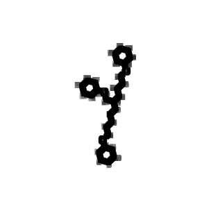 [CH](CCCCOC1CCCCC1)C(CCCCOC1CCCCC1)COC1CCCCC1